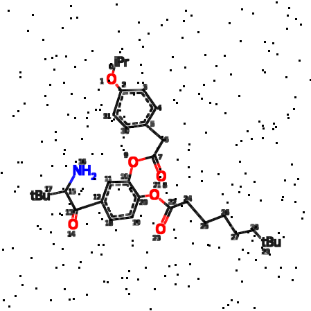 CC(C)Oc1ccc(CC(=O)Oc2cc(C(=O)C(N)C(C)(C)C)ccc2OC(=O)CCCCCC(C)(C)C)cc1